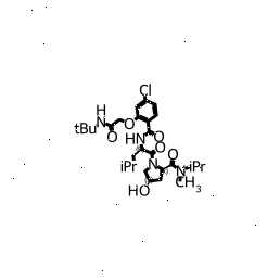 CC(C)C[C@@H](NC(=O)c1ccc(Cl)cc1OCC(=O)NC(C)(C)C)C(=O)N1C[C@@H](O)C[C@@H]1C(=O)N(C)C(C)C